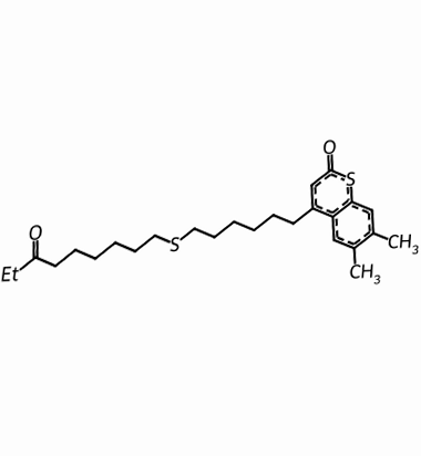 CCC(=O)CCCCCCSCCCCCCc1cc(=O)sc2cc(C)c(C)cc12